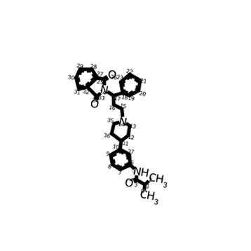 CC(C)C(=O)Nc1cccc(C2CCN(CCC(c3ccccc3)N3C(=O)c4ccccc4C3=O)CC2)c1